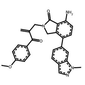 C=C(CN1Cc2c(-c3ccc4cnn(C)c4c3)ccc(N)c2C1=O)C(=O)c1ccc(OC)cc1